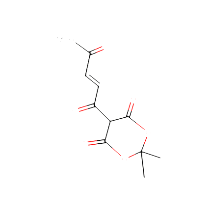 COC(=O)/C=C/C(=O)C1C(=O)OC(C)(C)OC1=O